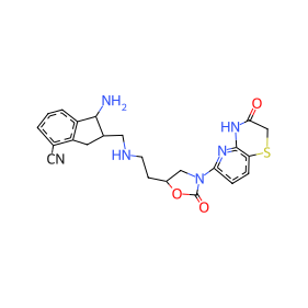 N#Cc1cccc2c1CC(CNCCC1CN(c3ccc4c(n3)NC(=O)CS4)C(=O)O1)C2N